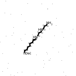 CCCCCCCCCCCCCCCCC=CNCCCNCCCN